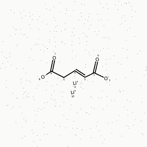 O=C([O-])/C=C/CC(=O)[O-].[Li+].[Li+]